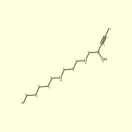 CC#CC(O)COCCCOCCCCCC